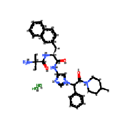 CC1CCN(C(=O)C(c2ccccc2)n2cnc(NC(=O)[C@@H](Cc3ccc4ccccc4c3)NC(=O)C(C)(C)N)c2)CC1.Cl.Cl